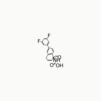 O=C[C@]1(NC(=O)O)C=CCc2cc(-c3cc(F)cc(F)c3)ccc21